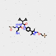 Cc1nn(COCCS(C)(C)C)c(C)c1-c1ccc(NC(=O)C(NC(=O)/C(=C/C=N)NCC[S+](C)[O-])C(C2CC2)C2CC2)cc1